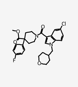 COC(=O)C1(c2ccc(F)cc2)CCN(C(=O)c2cn(CC3CCOCC3)c3ccc(Cl)cc23)CC1